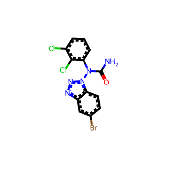 NC(=O)N(c1cccc(Cl)c1Cl)n1nnc2cc(Br)ccc21